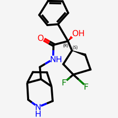 O=C(NCC1C2CCC1CNC2)[C@](O)(c1ccccc1)[C@H]1CCC(F)(F)C1